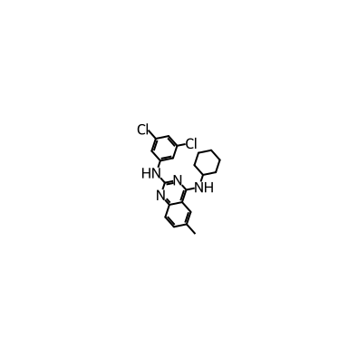 Cc1ccc2nc(Nc3cc(Cl)cc(Cl)c3)nc(NC3CCCCC3)c2c1